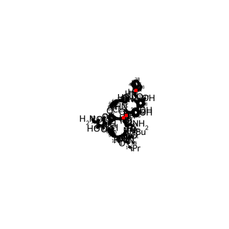 CC(C)C[C@H](C(=O)N[C@H]1C(=O)N[C@@H](CC(N)=O)C(=O)N[C@H]2C(=O)N[C@H]3C(=O)NC(C(=O)N[C@H](C(=O)NC4C5CC6CC(C5)CC4C6)c4cc(O)cc(O)c4-c4cc3ccc4O)[C@H](O)c3ccc(c(Cl)c3)Oc3cc2cc(c3OC2OC(CN)C(O)C(O)C2O)Oc2ccc(cc2Cl)[C@H]1O)N(C)C(=O)OC(C)(C)C